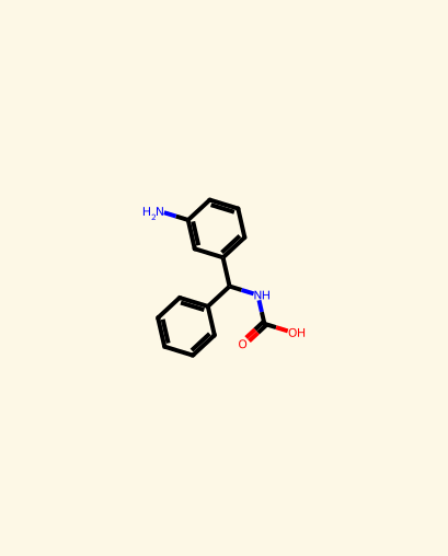 Nc1cccc(C(NC(=O)O)c2ccccc2)c1